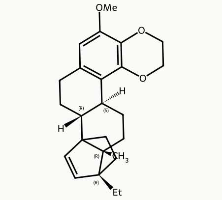 CC[C@]12C=CC3(CC1)[C@@H]1CCc4cc(OC)c5c(c4[C@H]1CC[C@@]32C)OCCO5